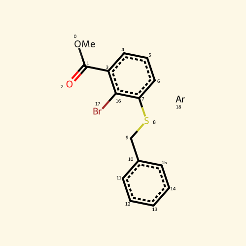 COC(=O)c1cccc(SCc2ccccc2)c1Br.[Ar]